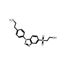 NCCc1ccc(-n2nnc3cc(S(=O)(=O)CCO)ccc32)cc1